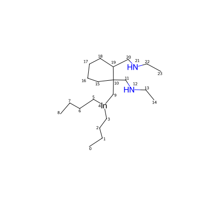 CCC[CH2][In]([CH2]CCC)[CH2]C1(CNCC)CCCCC1CNCC